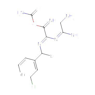 CCC(/N=C(\N=C(\N)CN)C(=N)OC(N)=O)C(/C=C\C(C)C)=C/CCl